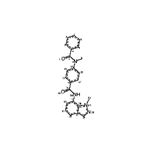 CN(C(=O)c1ccccc1)c1ccc(C(=O)Nc2cccc3cnn(C)c23)cc1